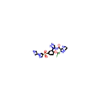 CN1CC(n2cc(S(=O)(=O)c3ccc(OC(F)F)c(-c4nn(C)cc4NC(=O)c4cnn5cccnc45)c3)cn2)C1